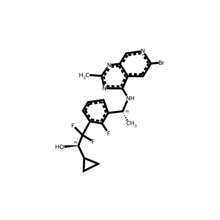 Cc1nc(N[C@H](C)c2cccc(C(F)(F)[C@H](O)C3CC3)c2F)c2cc(Br)ncc2n1